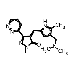 Cc1[nH]c(C=C2C(=O)NN=C2c2cccnn2)cc1CN(C)C